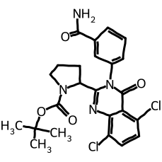 CC(C)(C)OC(=O)N1CCCC1c1nc2c(Cl)ccc(Cl)c2c(=O)n1-c1cccc(C(N)=O)c1